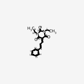 CCN1C(=O)C(=C/C=C/c2ccccc2)C(=O)N(CC)C1=O